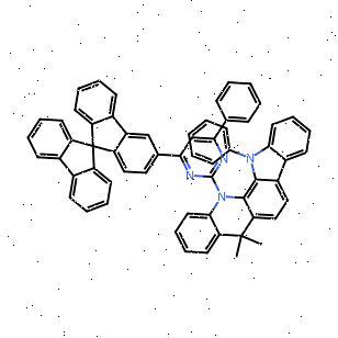 CC1(C)c2ccccc2N(c2nc(-c3ccccc3)cc(-c3ccc4c(c3)-c3ccccc3C43c4ccccc4-c4ccccc43)n2)c2c1ccc1c3ccccc3n(-c3ccccc3)c21